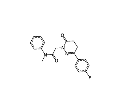 CN(C(=O)CN1N=C(c2ccc(F)cc2)CCC1=O)c1ccccc1